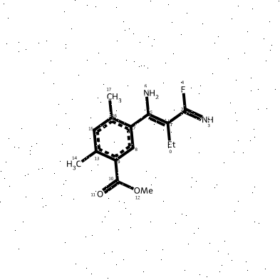 CC/C(C(=N)F)=C(/N)c1cc(C(=O)OC)c(C)cc1C